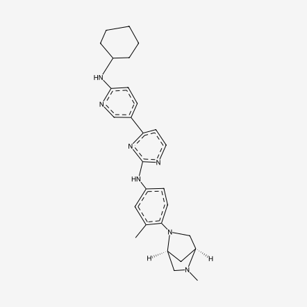 Cc1cc(Nc2nccc(-c3ccc(NC4CCCCC4)nc3)n2)ccc1N1C[C@@H]2C[C@H]1CN2C